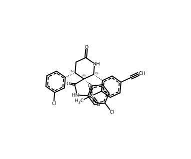 C#Cc1ccc(S(C)(=O)=O)c([C@H]2NC(=O)C[C@@H](c3cccc(Cl)c3)[C@]23C(=O)Nc2cc(Cl)ccc23)c1